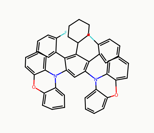 Fc1ccccc1-c1c(N2c3ccccc3Oc3ccccc32)cc(N2c3ccccc3Oc3ccccc32)c(-c2ccccc2F)c1C1CCCCC1